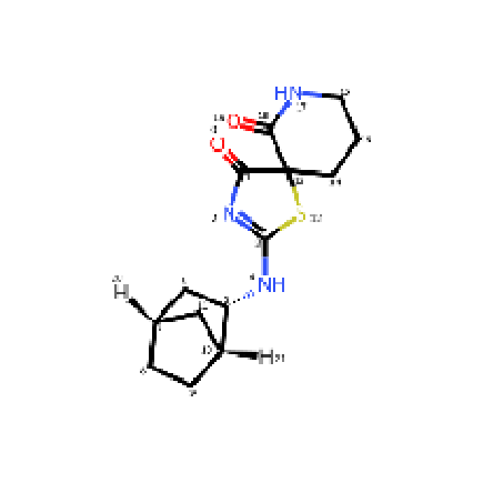 O=C1N=C(N[C@H]2C[C@H]3CC[C@@H]2C3)SC12CCCNC2=O